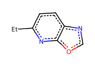 CCc1ccc2ncoc2n1